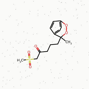 CC1(CCCC(=O)CS(C)(=O)=O)OOc2ccc1cc2